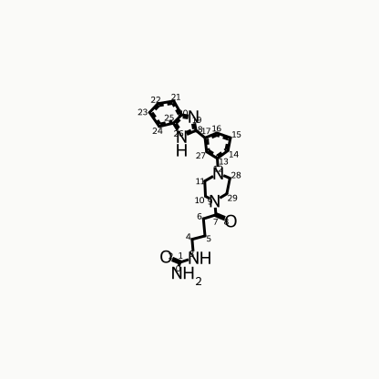 NC(=O)NCCCC(=O)N1CCN(c2cccc(-c3nc4ccccc4[nH]3)c2)CC1